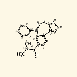 CN(C)C(Cl)c1ccc2c(c1)C(c1ccccc1)=NCc1nncn1-2